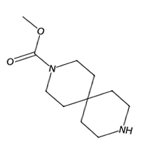 COC(=O)N1CCC2(CCNCC2)CC1